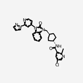 Cc1ncc(Cl)cc1C(=O)N[C@H]1CC[C@H](Cn2c(=O)n(-c3ccnc(-n4cccn4)c3)c3ccccc32)CC1